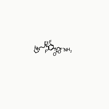 CCN(CCN1CCCN1C)c1c(F)cc(N2C[C@H](CN)OC2=O)cc1F